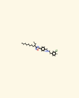 CCCCCCCCC(CC)c1noc(-c2ccc(CNCCc3cccc(Cl)c3)cc2)n1